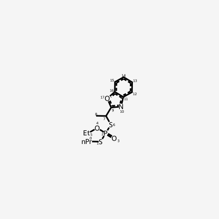 CCCSP(=O)(OCC)SC(C)c1nc2ccccc2o1